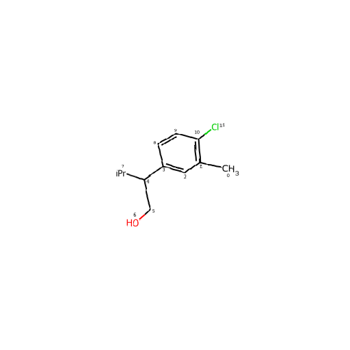 Cc1cc(C(CO)C(C)C)ccc1Cl